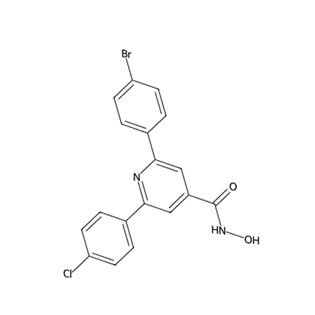 O=C(NO)c1cc(-c2ccc(Cl)cc2)nc(-c2ccc(Br)cc2)c1